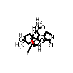 CC1(C)CCC2(CC1)N[C@@H](C(N)=O)[C@H](c1ccnc(Cl)c1F)[C@]21C(=O)Nc2cc(I)ccc21